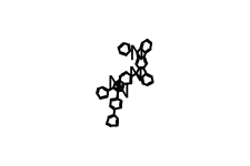 c1ccc(-c2ccc(-c3nc4cc(-n5c6ccccc6c6cc7c8ccccc8n(-c8ccccc8)c7cc65)ccc4nc3-c3ccccc3)cc2)cc1